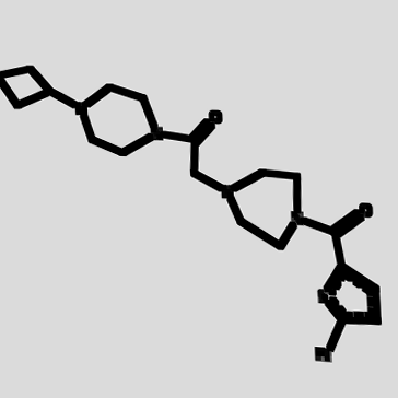 CCc1ccc(C(=O)N2CCN(CC(=O)N3CCN(C4CCC4)CC3)CC2)s1